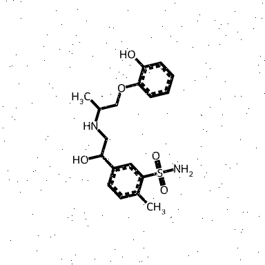 Cc1ccc(C(O)CNC(C)COc2ccccc2O)cc1S(N)(=O)=O